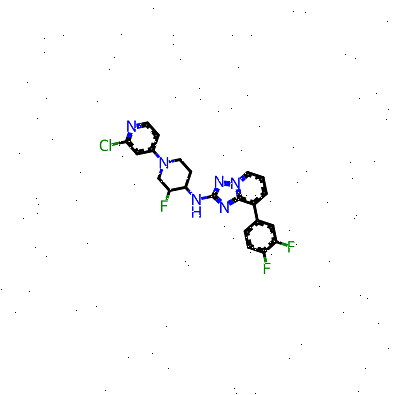 Fc1ccc(-c2cccn3nc(NC4CCN(c5ccnc(Cl)c5)CC4F)nc23)cc1F